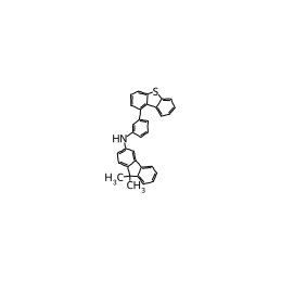 CC1(C)c2ccccc2-c2cc(Nc3cccc(-c4cccc5sc6ccccc6c45)c3)ccc21